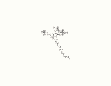 CCCOCCOCCOCC[N+](CCCCS(=O)(=O)[O-])(CCCCS(=O)(=O)O)CCC[SiH](C)C